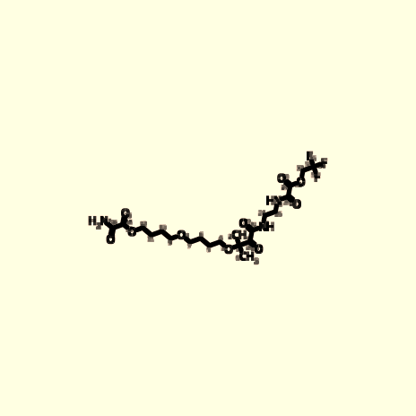 CC(C)(OCCCCOCCCCOC(=O)C(N)=O)C(=O)C(=O)NCCNC(=O)C(=O)OCC(F)(F)F